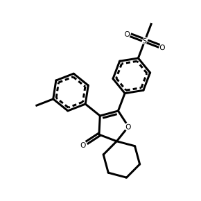 Cc1cccc(C2=C(c3ccc(S(C)(=O)=O)cc3)OC3(CCCCC3)C2=O)c1